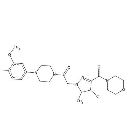 COc1cc(N2CCN(C(=O)CN3N=C(C(=O)N4CCOCC4)C(Cl)C3C)CC2)ccc1Cl